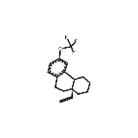 C=C[C@]12CCCCC1c1cc(OC(F)(F)F)ccc1CC2